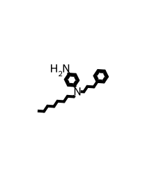 CCCCCCCCN(CCCc1ccccc1)c1ccc(N)cc1